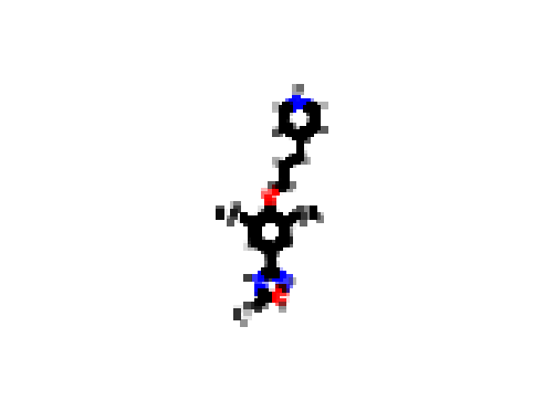 Cc1cc(-c2noc(C(F)(F)F)n2)cc(C)c1OCCCc1ccncc1